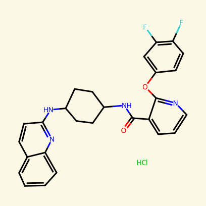 Cl.O=C(NC1CCC(Nc2ccc3ccccc3n2)CC1)c1cccnc1Oc1ccc(F)c(F)c1